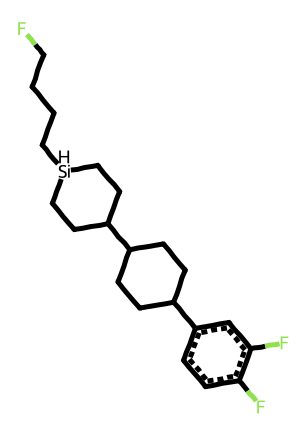 FCCCC[SiH]1CCC(C2CCC(c3ccc(F)c(F)c3)CC2)CC1